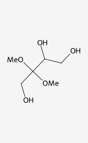 COC(CO)(OC)C(O)CO